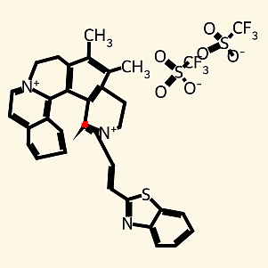 Cc1c(C)c2c(c3c1CC[n+]1ccc4ccccc4c1-3)-c1cccc(C=Cc3nc4ccccc4s3)[n+]1CC2.O=S(=O)([O-])C(F)(F)F.O=S(=O)([O-])C(F)(F)F